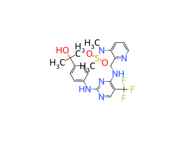 CN(c1cccnc1CNc1nc(Nc2ccc(C(C)(C)O)cc2)ncc1C(F)(F)F)S(C)(=O)=O